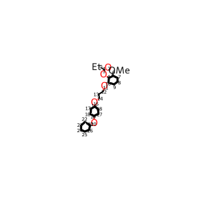 CCC(=O)Oc1c(OC)cccc1OCCCOc1ccc(Oc2ccccc2)cc1